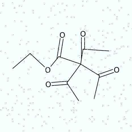 CCOC(=O)C(C(C)=O)(C(C)=O)C(C)=O